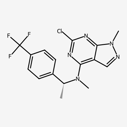 C[C@H](c1ccc(C(F)(F)F)cc1)N(C)c1nc(Cl)nc2c1cnn2C